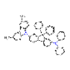 Cc1ccc2c(c1)c1cc(C)ccc1n2-c1ccc2c(c1)C(c1ccccc1)(c1ccccc1)c1cc(N(c3ccccc3)c3ccccc3)ccc1-2